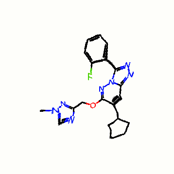 Cn1cnc(COc2nn3c(-c4ccccc4F)nnc3cc2C2CCCC2)n1